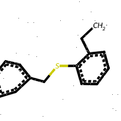 [CH2]Cc1ccccc1SCc1ccccc1